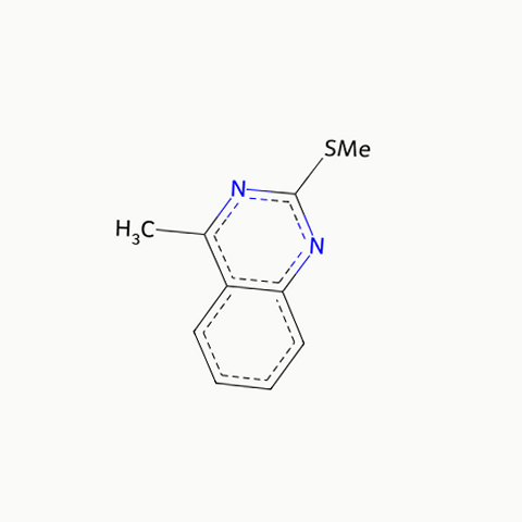 CSc1nc(C)c2ccccc2n1